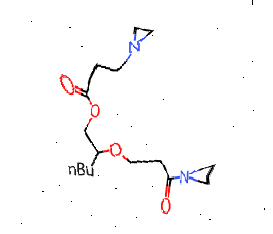 CCCCC(COC(=O)CCN1CC1)OCCC(=O)N1CC1